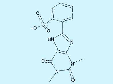 Cn1c(=O)c2[nH]c(-c3ccccc3S(=O)(=O)O)nc2n(C)c1=O